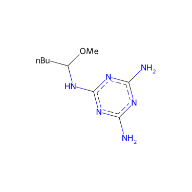 CCCCC(Nc1nc(N)nc(N)n1)OC